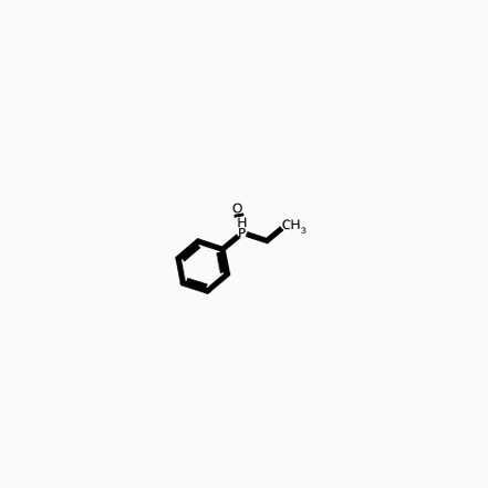 CC[PH](=O)c1ccccc1